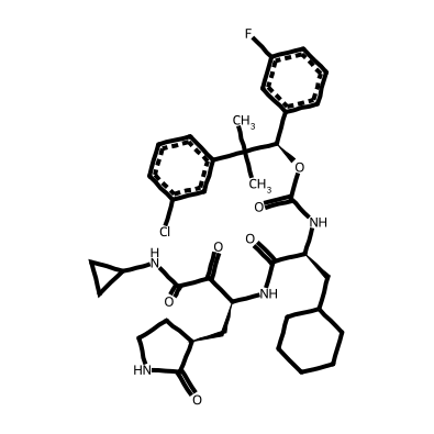 CC(C)(c1cccc(Cl)c1)[C@H](OC(=O)N[C@@H](CC1CCCCC1)C(=O)N[C@@H](C[C@@H]1CCNC1=O)C(=O)C(=O)NC1CC1)c1cccc(F)c1